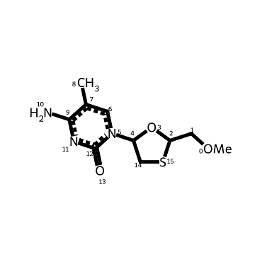 COCC1OC(n2cc(C)c(N)nc2=O)CS1